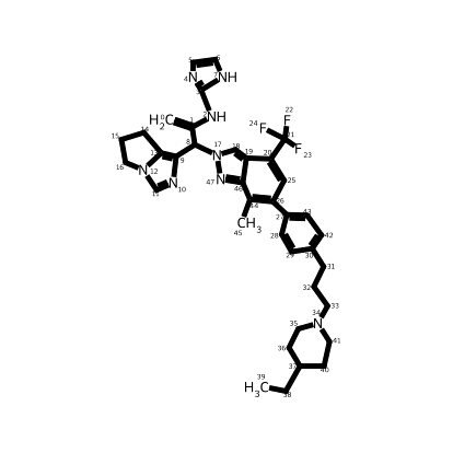 C=C(Nc1ncc[nH]1)C(c1ncn2c1CCC2)n1cc2c(C(F)(F)F)cc(-c3ccc(CCCN4CCC(CC)CC4)cc3)c(C)c2n1